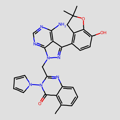 Cc1cccc2nc(Cn3nc(-c4ccc(O)c5c4CC(C)(C)O5)c4c(N)ncnc43)n(-n3cccc3)c(=O)c12